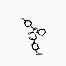 COc1ccc(C(=O)CN2C(=O)C(c3ccc(Cl)cc3)=NC23CCCCC3)cc1